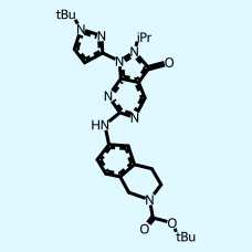 CC(C)n1c(=O)c2cnc(Nc3ccc4c(c3)CCN(C(=O)OC(C)(C)C)C4)nc2n1-c1ccn(C(C)(C)C)n1